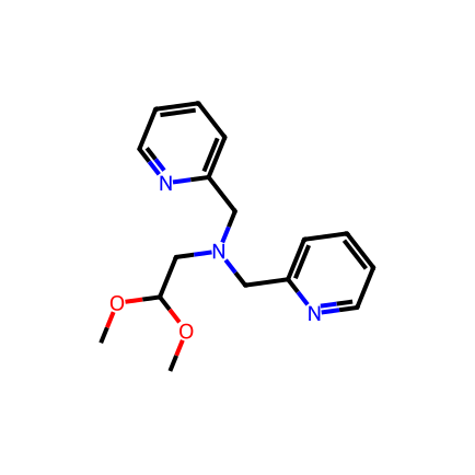 COC(CN(Cc1ccccn1)Cc1ccccn1)OC